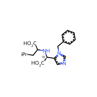 CC(C)CC(N[C@H](C(=O)O)c1cncn1Cc1ccccc1)C(=O)O